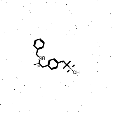 C[C@H](Cc1ccc(CC(C)(C)[Si](C)(C)O)cc1)NCc1ccccc1